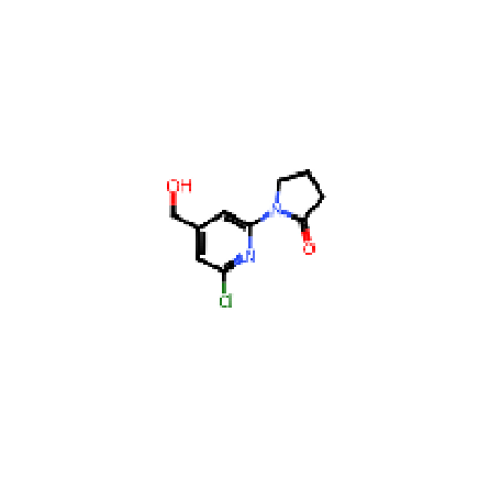 O=C1CCCN1c1cc(CO)cc(Cl)n1